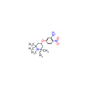 CN1C(C)(C)CC(Oc2ccc([N+](=O)[O-])c(N)c2)CC1(C)C